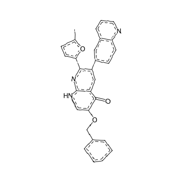 Cc1ccc(-c2nc3[nH]cc(OCc4ccccc4)c(=O)c3cc2-c2ccc3ncccc3c2)o1